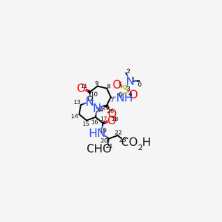 CN(C)S(=O)(=O)N[C@H]1CCC(=O)N2CCCC(C(=O)NC(C=O)CC(=O)O)N2C1=O